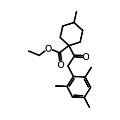 CCOC(=O)C1(C(=O)Cc2c(C)cc(C)cc2C)CCC(C)CC1